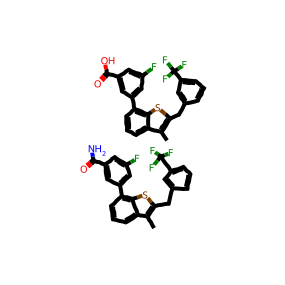 Cc1c(Cc2cccc(C(F)(F)F)c2)sc2c(-c3cc(F)cc(C(=O)O)c3)cccc12.Cc1c(Cc2cccc(C(F)(F)F)c2)sc2c(-c3cc(F)cc(C(N)=O)c3)cccc12